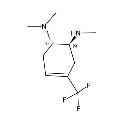 CN[C@H]1CC(C(F)(F)F)=CC[C@@H]1N(C)C